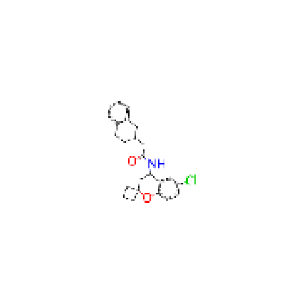 O=C(CC1CCc2ccccc2C1)NC1CC2(CCC2)Oc2ccc(Cl)cc21